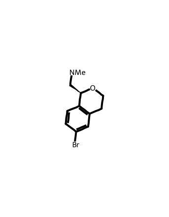 CNC[C@H]1OCCc2cc(Br)ccc21